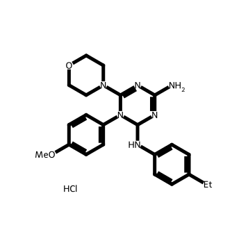 CCc1ccc(NC2N=C(N)N=C(N3CCOCC3)N2c2ccc(OC)cc2)cc1.Cl